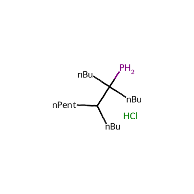 CCCCCC(CCCC)C(P)(CCCC)CCCC.Cl